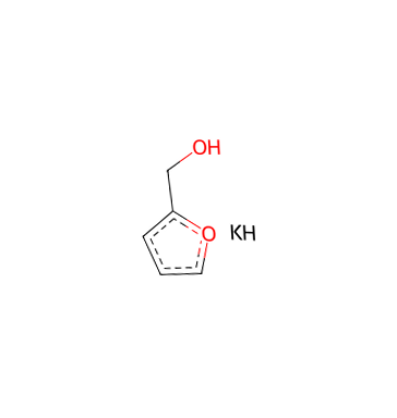 OCc1ccco1.[KH]